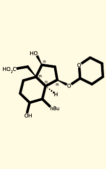 CCCCC1C(O)CC[C@@]2(CC(=O)O)[C@H]1[C@H](OC1CCCCO1)C[C@@H]2O